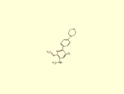 C=Nc1nc(-c2ccc(N3CCOCC3)cc2)c(Cl)cc1NC